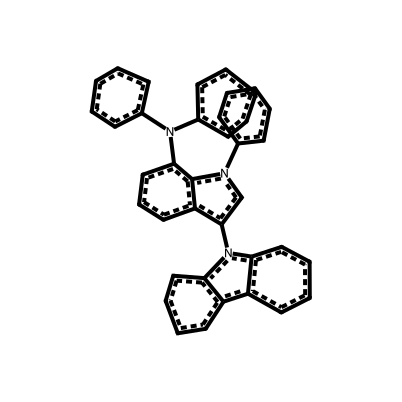 c1ccc(N(c2ccccc2)c2cccc3c(-n4c5ccccc5c5ccccc54)cn(-c4ccccc4)c23)cc1